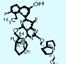 CCc1c(F)ccc2cc(O)cc(-c3nc4c5c(nc(OC[C@]67CCCN6[C@H](CO)CC7)nc5c3F)N3C[C@H]5CC[C@H](N5)[C@H]3CO4)c12